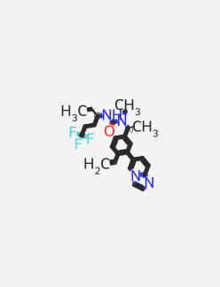 C=Cc1ccc([C@@H](C)N(CC)C(=O)N[C@H](CC)CCC(F)(F)F)cc1-c1ccc2nccn2c1